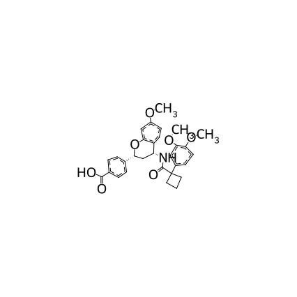 COc1ccc2c(c1)O[C@@H](c1ccc(C(=O)O)cc1)C[C@H]2NC(=O)C1(c2ccc(OC)c(OC)c2)CCC1